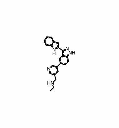 CCNCc1cncc(-c2ccc3[nH]nc(-c4cc5ccccc5[nH]4)c3c2)c1